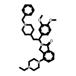 CCN1CCN(c2cccc3c2CN(C(CC2CCN(Cc4ccccc4)CC2)c2ccc(OC)c(OC)c2)C3=O)CC1